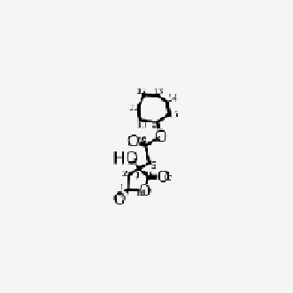 O=C1CC(O)(CC(=O)OC2CCCCCC2)C(=O)O1